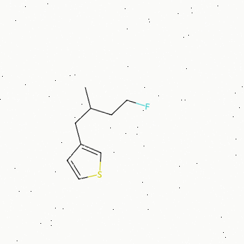 CC(CCF)Cc1ccsc1